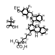 CCOc1cc(F)c(Cn2nc(-c3ncc(OCCCNC(C)C(=O)O)c(Nc4ccncc4Cl)n3)c3ccccc32)c(F)c1.O=C(O)C(F)(F)F